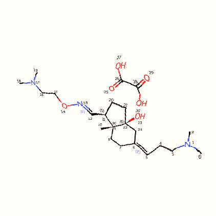 CN(C)CC/C=C1/CC[C@]2(C)[C@@H](/C=N/OCCN(C)C)CC[C@]2(O)C1.O=C(O)C(=O)O